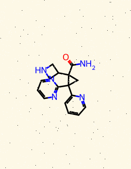 NC(=O)C1(C2CNC2)CC1(c1ccccn1)c1ncccn1